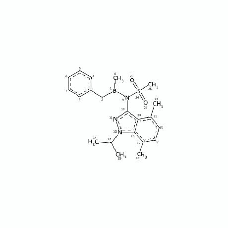 CB(Cc1ccccc1)N(c1nn(C(C)C)c2c(C)ccc(C)c12)S(C)(=O)=O